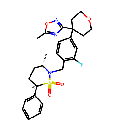 Cc1nc(C2(c3ccc(CN4[C@@H](C)CC[C@H](c5ccccc5)S4(=O)=O)c(F)c3)CCOCC2)no1